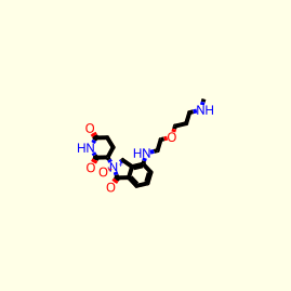 CNCCCOCCNc1cccc2c1C[N+]([O-])(C1CCC(=O)NC1=O)C2=O